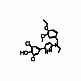 CCOc1ccc(CN(CC)c2ccc(-c3cc(Cl)c(O)c(Cl)c3)nn2)cc1OC